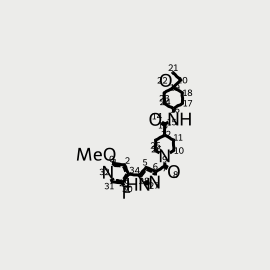 COc1cc(-c2cc(C(=O)N3CCC(C(=O)NC4CCC5(CCO5)CC4)CC3)n[nH]2)c(F)cn1